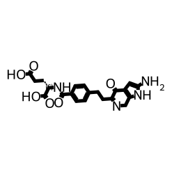 Nc1cc2c([nH]1)CN=C(CCc1ccc(C(=O)N[C@@H](CCC(=O)O)C(=O)O)cc1)C2=O